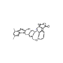 CCCc1nc2c(C)cc(C)nc2n1Cc1ccc2c(c1)COc1ccccc1/C2=C\c1noc(=O)[nH]1